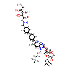 CC(C)(C)[Si](C)(C)OC1CO[C@H]2C1OC[C@H]2Oc1nc2nc(-c3ccc(-c4ccc(CNC[C@H](O)[C@@H](O)[C@H](O)[C@H](O)CO)cc4)cc3)c(Cl)cc2n1COCC[Si](C)(C)C